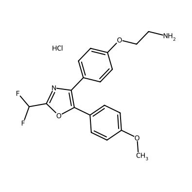 COc1ccc(-c2oc(C(F)F)nc2-c2ccc(OCCN)cc2)cc1.Cl